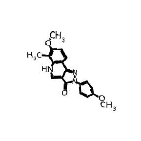 COc1ccc(-n2nc3c4ccc(OC)c(C)c4[nH]cc-3c2=O)cc1